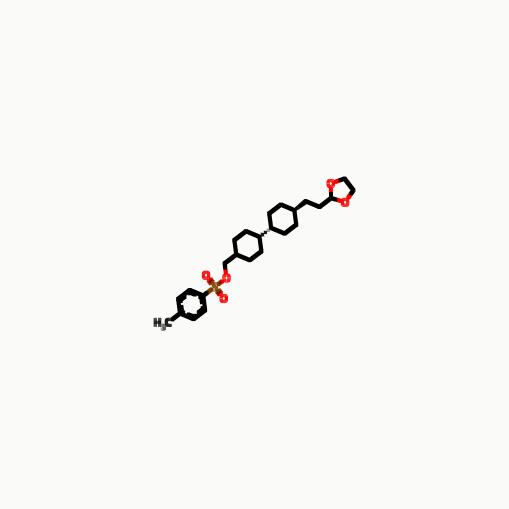 Cc1ccc(S(=O)(=O)OCC2CCC([C@H]3CC[C@H](CCC4OCCO4)CC3)CC2)cc1